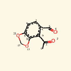 CC(=O)c1c(C=O)ccc2c1OCO2